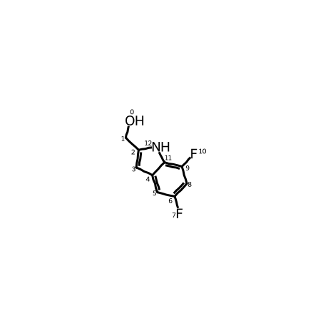 OCc1cc2cc(F)cc(F)c2[nH]1